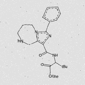 COC(=O)C(NC(=O)c1nc(-c2ccccc2)n2c1CNCCC2)C(C)(C)C